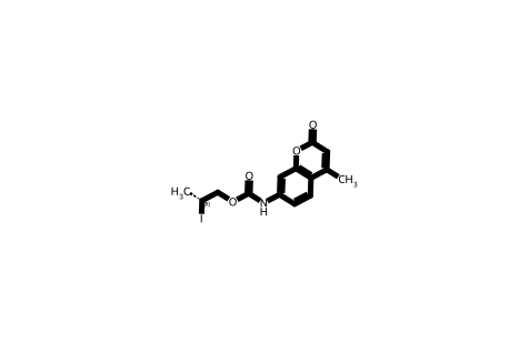 Cc1cc(=O)oc2cc(NC(=O)OC[C@@H](C)I)ccc12